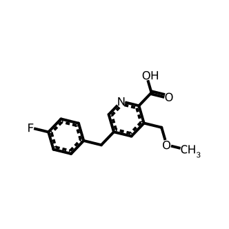 COCc1cc(Cc2ccc(F)cc2)cnc1C(=O)O